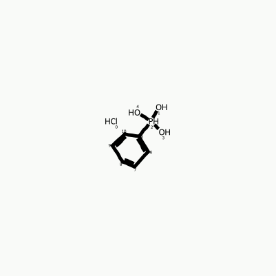 Cl.O[PH](O)(O)c1ccccc1